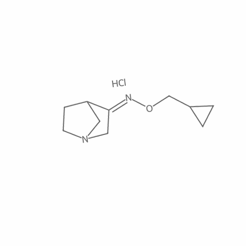 C1CC1CON=C1CN2CCC1C2.Cl